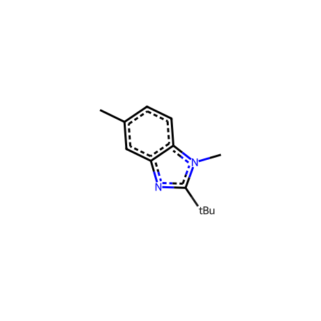 Cc1ccc2c(c1)nc(C(C)(C)C)n2C